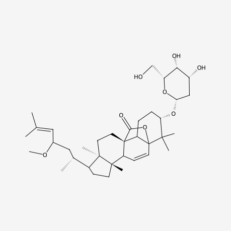 COC(C=C(C)C)C[C@@H](C)C1CC[C@@]2(C)C3C=CC45OC(=O)[C@]3(CC[C@]12C)C4CC[C@H](O[C@H]1C[C@@H](O)[C@@H](O)[C@@H](CO)O1)C5(C)C